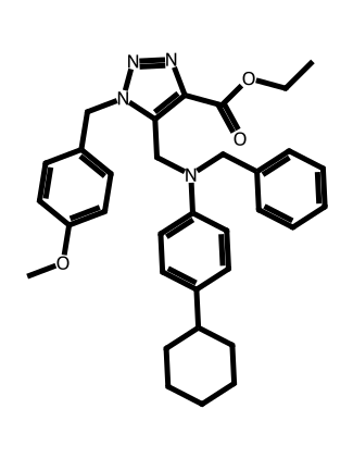 CCOC(=O)c1nnn(Cc2ccc(OC)cc2)c1CN(Cc1ccccc1)c1ccc(C2CCCCC2)cc1